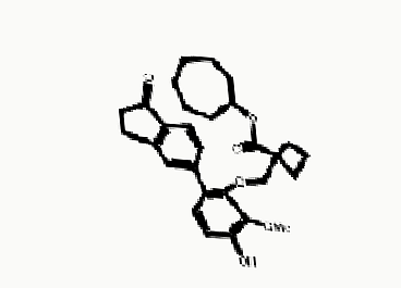 COc1c(O)ccc(-c2ccc3c(c2)CCC3=O)c1OCC1(C(=O)OC2CCCCCC2)CCC1